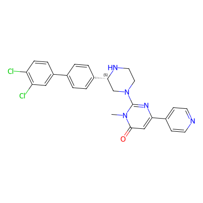 Cn1c(N2CCN[C@@H](c3ccc(-c4ccc(Cl)c(Cl)c4)cc3)C2)nc(-c2ccncc2)cc1=O